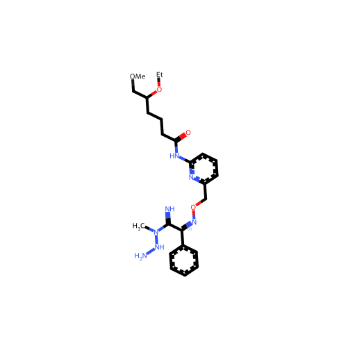 CCOC(CCCC(=O)Nc1cccc(CO/N=C(\C(=N)N(C)NN)c2ccccc2)n1)COC